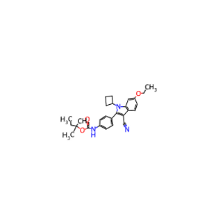 CCOc1ccc2c(C#N)c(-c3ccc(NC(=O)OC(C)(C)CC)cc3)n(C3CCC3)c2c1